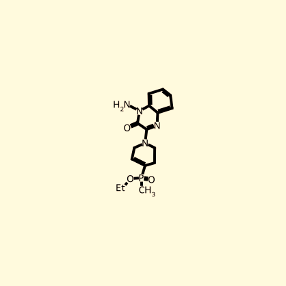 CCOP(C)(=O)C1=CCN(c2nc3ccccc3n(N)c2=O)CC1